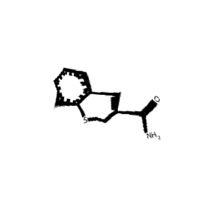 NC(=O)C1=Cc2ccccc2SC1